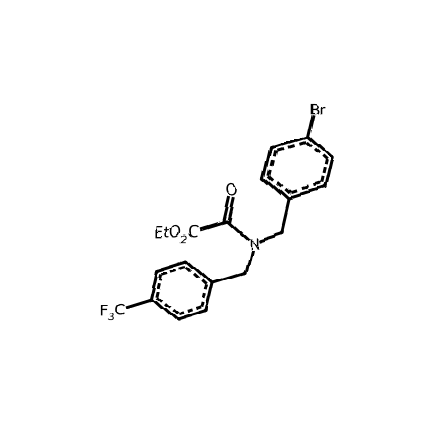 CCOC(=O)C(=O)N(Cc1ccc(Br)cc1)Cc1ccc(C(F)(F)F)cc1